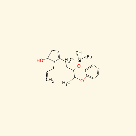 C=CCC1C(CCC(O[Si](C)(C)C(C)(C)C)C(C)Oc2ccccc2)=CCC1O